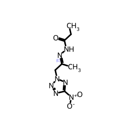 CCC(=O)N/N=C(\C)Cn1nnc([N+](=O)[O-])n1